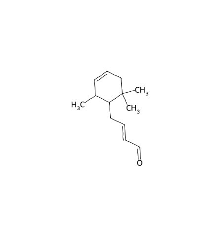 CC1C=CCC(C)(C)C1CC=CC=O